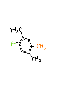 Cc1cc(P)c(C)cc1F